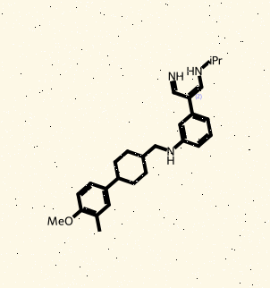 COc1ccc(C2CCC(CNc3cccc(/C(C=N)=C/NC(C)C)c3)CC2)cc1C